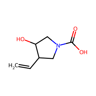 C=CC1CN(C(=O)O)CC1O